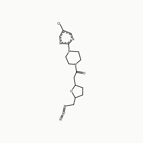 [N-]=[N+]=NCC1CCC(CC(=O)N2CCN(c3ncc(Cl)cn3)CC2)O1